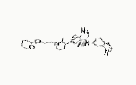 CC1C(c2cc3c(Nc4ccc5scnc5c4)ccnc3s2)CCCN1CCOC1CCCCO1